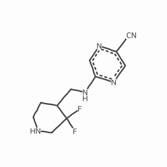 N#Cc1cnc(NCC2CCNCC2(F)F)cn1